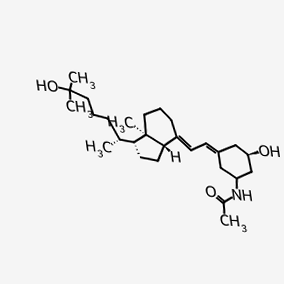 CC(=O)NC1C/C(=C\C=C2/CCC[C@]3(C)[C@@H]([C@H](C)CCCC(C)(C)O)CC[C@@H]23)C[C@@H](O)C1